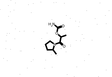 CC(OC(N)=O)C(=O)N1CCCC1C